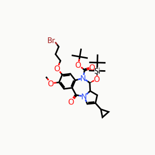 COc1cc2c(cc1OCCCBr)N(C(=O)OC(C)(C)C)[C@@H](O[Si](C)(C)C(C)(C)C)C1CC(C3CC3)=CN1C2=O